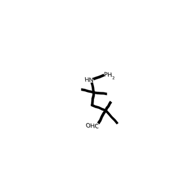 CC(C)(C=O)CC(C)(C)NP